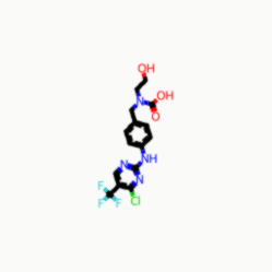 O=C(O)N(CCO)Cc1ccc(Nc2ncc(C(F)(F)F)c(Cl)n2)cc1